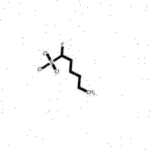 CCCCCC(F)[Si](Cl)(Cl)Cl